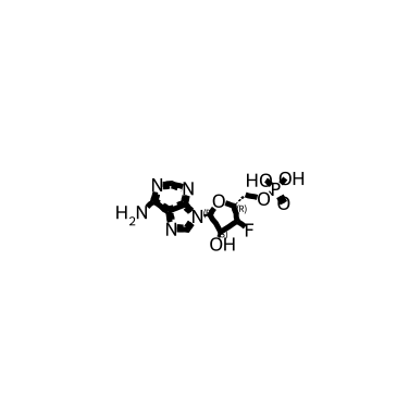 Nc1ncnc2c1ncn2[C@@H]1O[C@H](COP(=O)(O)O)C(F)[C@H]1O